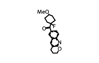 COC1CCC(F)(C(=O)c2ccc3nc4c(cc3c2)CCCO4)CC1